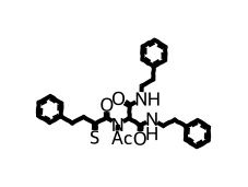 CC(=O)N(C(=O)C(=S)CCc1ccccc1)C(C(=O)NCCc1ccccc1)C(=O)NCCc1ccccc1